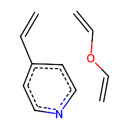 C=COC=C.C=Cc1ccncc1